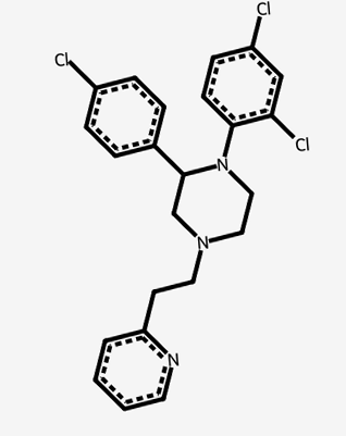 Clc1ccc(C2CN(CCc3ccccn3)CCN2c2ccc(Cl)cc2Cl)cc1